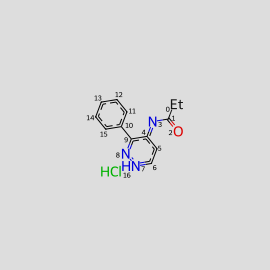 CCC(=O)N=c1cc[nH]nc1-c1ccccc1.Cl